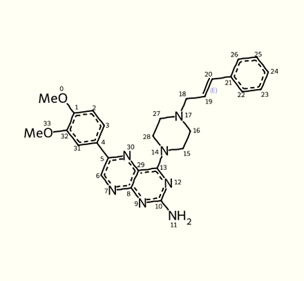 COc1ccc(-c2cnc3nc(N)nc(N4CCN(C/C=C/c5ccccc5)CC4)c3n2)cc1OC